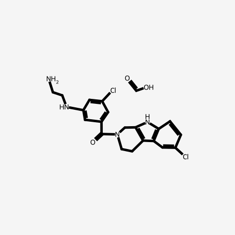 NCCNc1cc(Cl)cc(C(=O)N2CCc3c([nH]c4ccc(Cl)cc34)C2)c1.O=CO